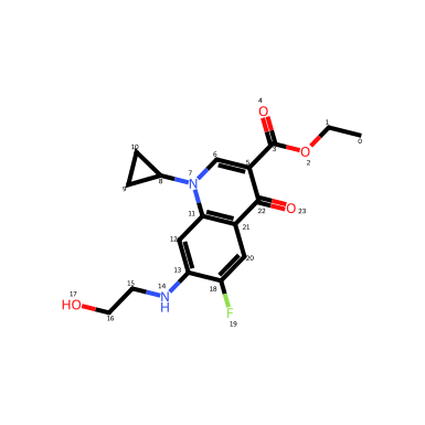 CCOC(=O)c1cn(C2CC2)c2cc(NCCO)c(F)cc2c1=O